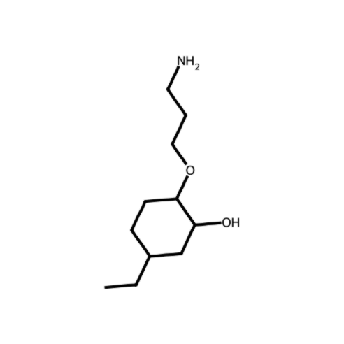 CCC1CCC(OCCCN)C(O)C1